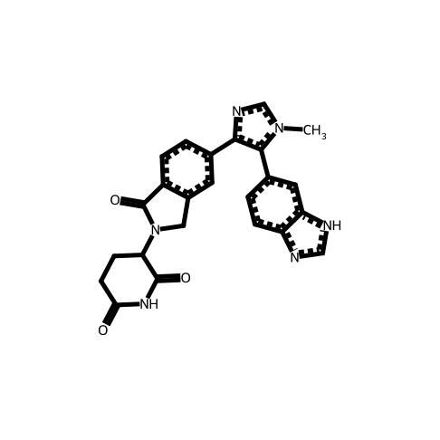 Cn1cnc(-c2ccc3c(c2)CN(C2CCC(=O)NC2=O)C3=O)c1-c1ccc2nc[nH]c2c1